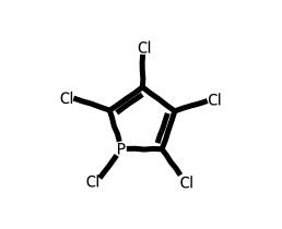 Clc1c(Cl)c(Cl)p(Cl)c1Cl